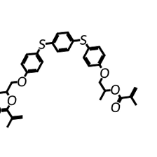 C=C(C)C(=O)OC(C)COc1ccc(Sc2ccc(Sc3ccc(OCC(C)OC(=O)C(=C)C)cc3)cc2)cc1